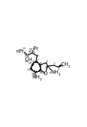 C=CC[C@@]1(N)Cc2c(C[C@H](C(C)C)N(C)CCC)ccc(N)c2O1